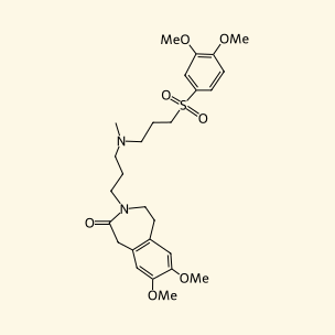 COc1ccc(S(=O)(=O)CCCN(C)CCCN2CCc3cc(OC)c(OC)cc3CC2=O)cc1OC